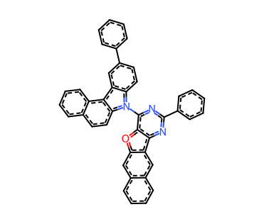 c1ccc(-c2ccc3c(c2)c2c4ccccc4ccc2n3-c2nc(-c3ccccc3)nc3c2oc2cc4ccccc4cc23)cc1